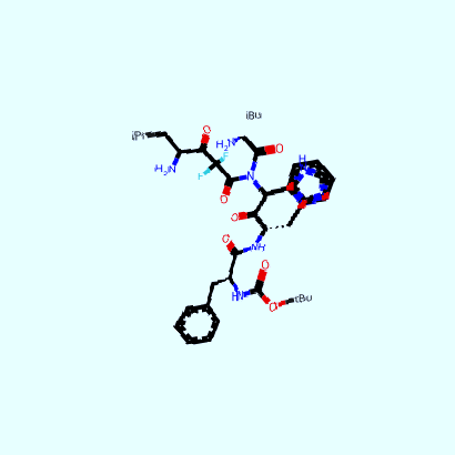 CC[C@H](C)[C@H](N)C(=O)N(C(=O)C(F)(F)C(=O)C(N)CC(C)C)C(C(=O)[C@H](Cc1c[nH]cn1)NC(=O)[C@H](Cc1ccccc1)NC(=O)OC(C)(C)C)c1ccccn1